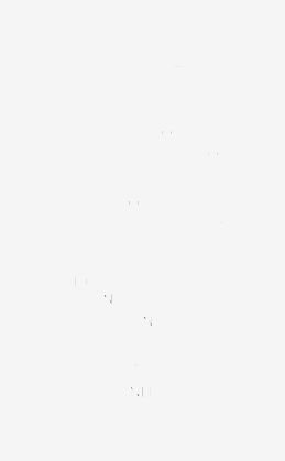 CCCC1(CCc2ccccc2)CC(O)=C(C(CC)c2ccc(-c3nc(S(N)(=O)=O)cn3C)cc2)C(=O)O1